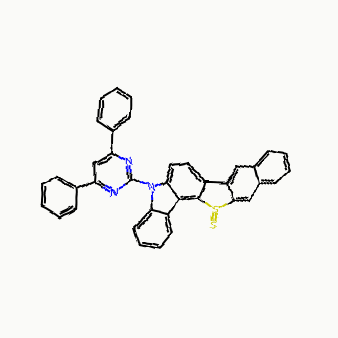 S=S1c2cc3ccccc3cc2-c2ccc3c(c21)c1ccccc1n3-c1nc(-c2ccccc2)cc(-c2ccccc2)n1